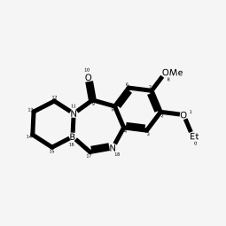 CCOc1cc2c(cc1OC)C(=O)N1CCCCB1C=N2